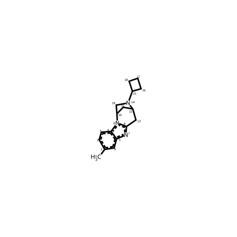 Cc1ccc2c(c1)nc1n2C2CC(C1)N(C1CCC1)C2